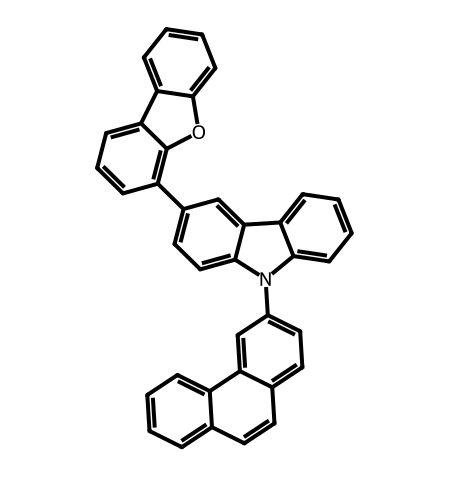 c1ccc2c(c1)ccc1ccc(-n3c4ccccc4c4cc(-c5cccc6c5oc5ccccc56)ccc43)cc12